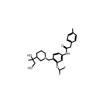 Cc1ccc(CC(=O)Nc2ccc(CN3CCCC(C(C)(O)CO)C3)c(OC(F)F)c2)cc1